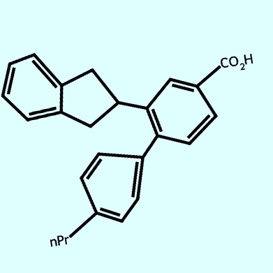 CCCc1ccc(-c2ccc(C(=O)O)cc2C2Cc3ccccc3C2)cc1